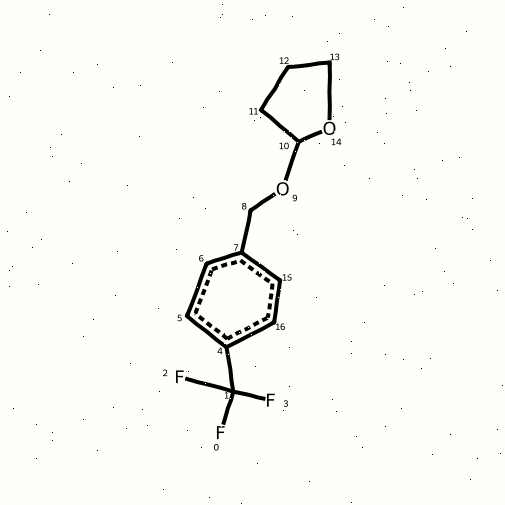 FC(F)(F)c1ccc(COC2CCCO2)cc1